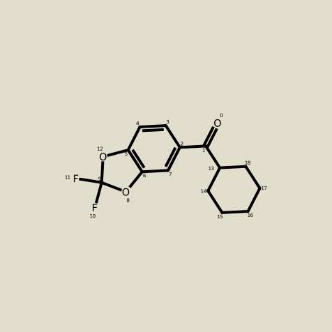 O=C(c1ccc2c(c1)OC(F)(F)O2)C1CCCCC1